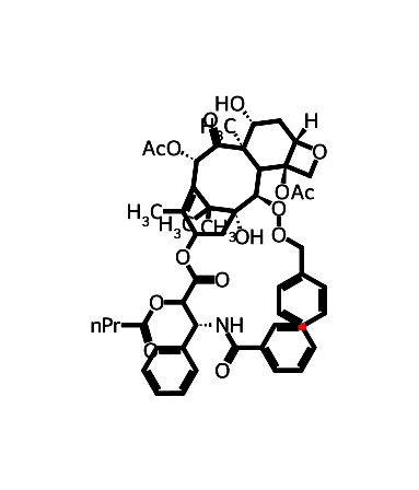 CCCC(=O)OC(C(=O)OC1C[C@]2(O)[C@H](OOCc3ccccc3)C3[C@@]4(OC(C)=O)CO[C@H]4C[C@@H](O)[C@]3(C)C(=O)[C@@H](OC(C)=O)C(=C1C)C2(C)C)[C@H](NC(=O)c1ccccc1)c1ccccc1